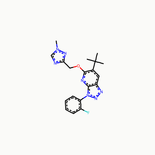 Cn1cnc(COc2nc3c(cc2C(C)(C)C)nnn3-c2ccccc2F)n1